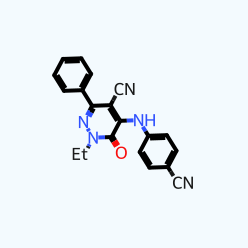 CCn1nc(-c2ccccc2)c(C#N)c(Nc2ccc(C#N)cc2)c1=O